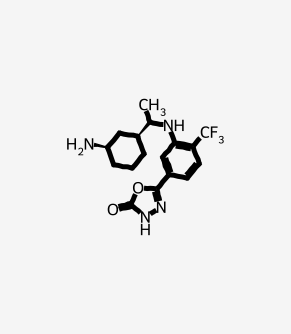 CC(Nc1cc(-c2n[nH]c(=O)o2)ccc1C(F)(F)F)[C@H]1CCC[C@@H](N)C1